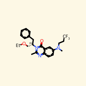 CCOC[C@H](Cc1ccccc1)n1c(C)nc2ccc(N(C)CCC(F)(F)F)cc2c1=O